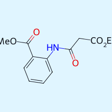 CCOC(=O)CC(=O)Nc1ccccc1C(=O)OC